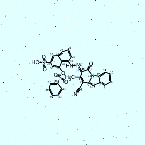 CC1=C(C#N)c2nc3ccccc3n2C(=O)/C1=N/Nc1cccc2cc(S(=O)(=O)O)cc(OS(=O)(=O)c3ccccc3)c12